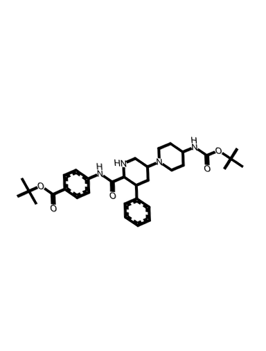 CC(C)(C)OC(=O)NC1CCN(C2CNC(C(=O)Nc3ccc(C(=O)OC(C)(C)C)cc3)C(c3ccccc3)C2)CC1